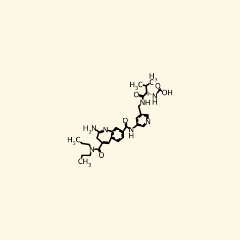 CCCN(CCC)C(=O)C1=Cc2ccc(C(=O)Nc3cncc(CNC(=O)[C@@H](NC(=O)O)C(C)C)c3)cc2N=C(N)C1